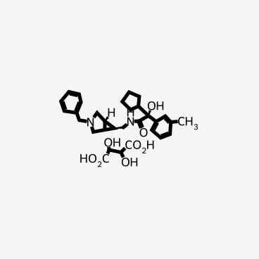 Cc1cccc([C@](O)(C(=O)NC[C@H]2C3CN(Cc4ccccc4)C[C@@H]32)C2CCCC2)c1.O=C(O)C(O)C(O)C(=O)O